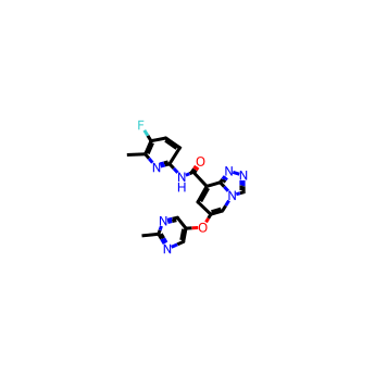 Cc1ncc(Oc2cc(C(=O)Nc3ccc(F)c(C)n3)c3nncn3c2)cn1